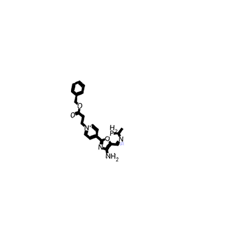 CC(P)/N=C\c1oc(-c2cc[n+](CCC(=O)OCc3ccccc3)cc2)nc1N